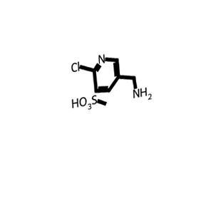 CS(=O)(=O)O.NCc1ccc(Cl)nc1